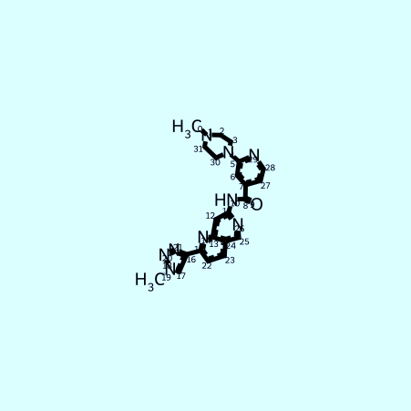 CN1CCN(c2cc(C(=O)Nc3cc4nc(-c5cn(C)nn5)ccc4cn3)ccn2)CC1